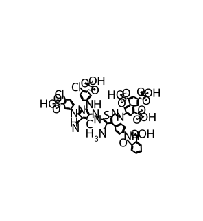 Cc1c(C#N)c(Nc2ccc(Cl)c(S(=O)(=O)O)c2)nc(Nc2ccc(Cl)c(S(=O)(=O)O)c2)c1N=Nc1sc(N=Nc2cc(S(=O)(=O)O)c3cc(S(=O)(=O)O)cc(S(=O)(=O)O)c3c2)c(-c2ccc(NC(=O)c3ccccc3C(=O)O)cc2)c1C#N